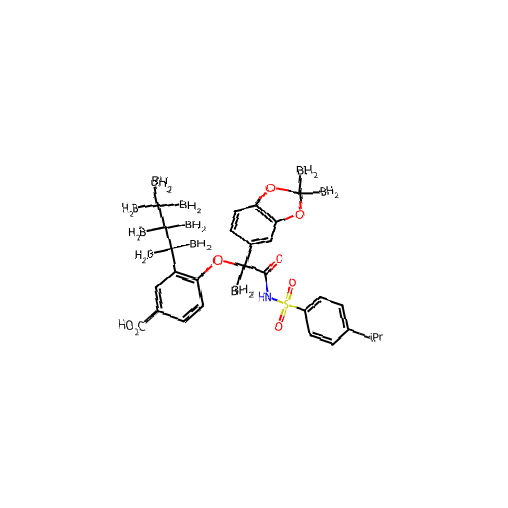 BC1(B)Oc2ccc(C(B)(Oc3ccc(C(=O)O)cc3C(B)(B)C(B)(B)C(B)(B)B)C(=O)NS(=O)(=O)c3ccc(C(C)C)cc3)cc2O1